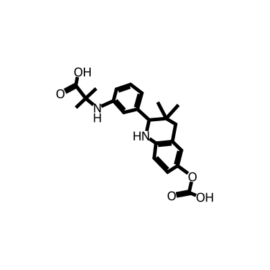 CC(C)(Nc1cccc(C2Nc3ccc(OC(=O)O)cc3CC2(C)C)c1)C(=O)O